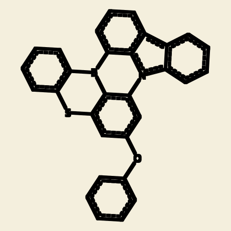 c1ccc(Oc2cc3c4c(c2)-n2c5ccccc5c5cccc(c52)B4c2ccccc2S3)cc1